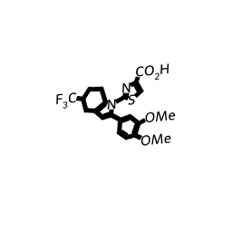 COc1ccc(-c2cc3c(n2-c2nc(C(=O)O)cs2)CCC(C(F)(F)F)C3)cc1OC